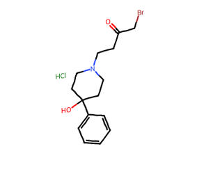 Cl.O=C(CBr)CCN1CCC(O)(c2ccccc2)CC1